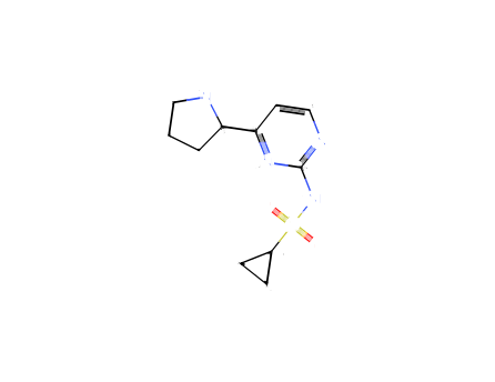 O=S(=O)(Nc1nccc(C2CCCN2)n1)C1CC1